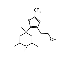 CC1CC(C)(c2sc(C(F)(F)F)cc2CCO)CC(C)N1